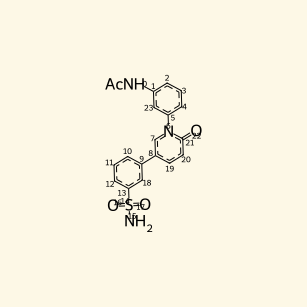 CC(=O)Nc1cccc(-n2cc(-c3cccc(S(N)(=O)=O)c3)ccc2=O)c1